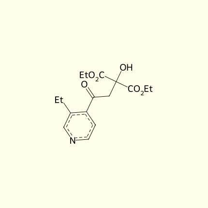 CCOC(=O)C(O)(CC(=O)c1ccncc1CC)C(=O)OCC